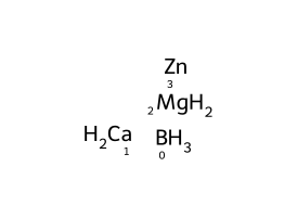 B.[CaH2].[MgH2].[Zn]